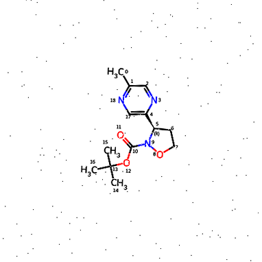 Cc1cnc([C@H]2CCON2C(=O)OC(C)(C)C)cn1